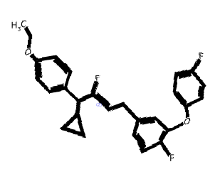 CCOc1ccc(C(/C(F)=C/Cc2ccc(F)c(Oc3ccc(F)cc3)c2)C2CC2)cc1